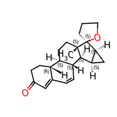 C[C@]12CC[C@H]3[C@@H](C=CC4=CC(=O)CC[C@@H]43)[C@@H]1[C@@H]1C[C@@H]1[C@@]21CCCO1